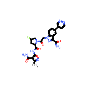 Cc1noc(NC(=O)C2CC(F)CN2C(=O)Cn2nc(C(N)=O)c3cc(-c4ccnnc4)ccc32)c1C(N)=O